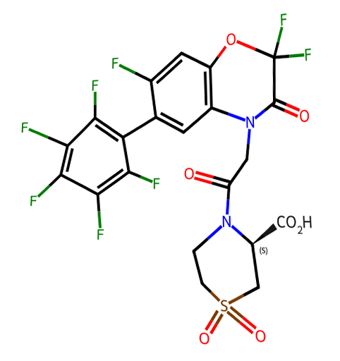 O=C(O)[C@H]1CS(=O)(=O)CCN1C(=O)CN1C(=O)C(F)(F)Oc2cc(F)c(-c3c(F)c(F)c(F)c(F)c3F)cc21